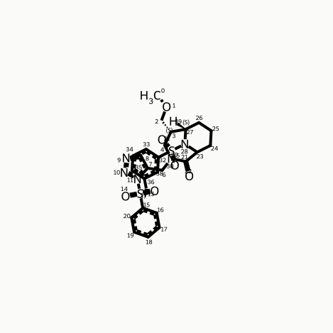 COC[C@H]1CN(Cc2cnnn2S(=O)(=O)c2ccccc2)C(=O)C2CCC[C@@H]1N2S(=O)(=O)c1cccc(F)c1